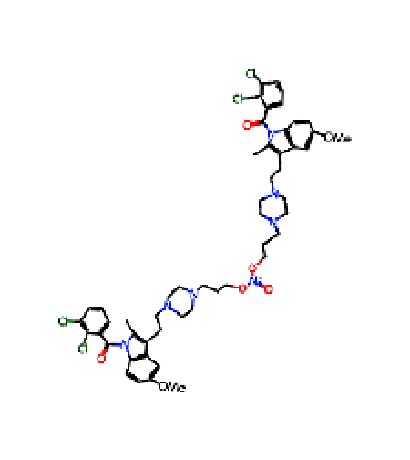 COc1ccc2c(c1)c(CCN1CCN(CCCO[N+](=O)OCCCN3CCN(CCc4c(C)n(C(=O)c5cccc(Cl)c5Cl)c5ccc(OC)cc45)CC3)CC1)c(C)n2C(=O)c1cccc(Cl)c1Cl